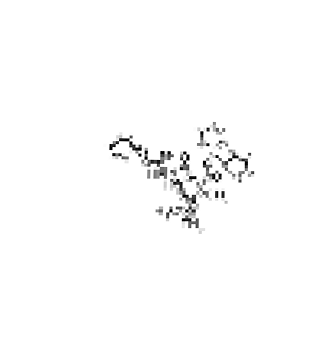 CC1=C(C(=O)OC(c2ccccc2)c2ccccc2)N2C(=O)[C@H](NC(=O)COc3ccccc3)[C@H]2S[C@@H]1OC(C)C